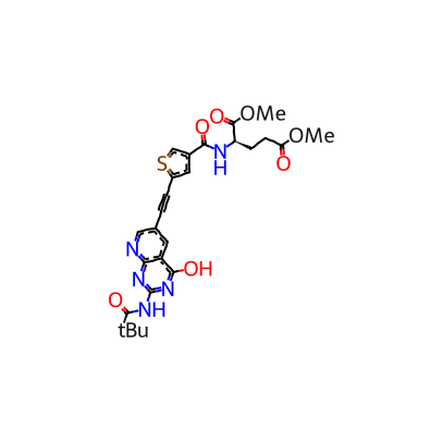 COC(=O)CC[C@@H](NC(=O)c1csc(C#Cc2cnc3nc(NC(=O)C(C)(C)C)nc(O)c3c2)c1)C(=O)OC